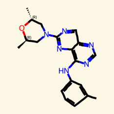 Cc1cccc(Nc2ncnc3cnc(N4C[C@@H](C)O[C@H](C)C4)nc23)c1